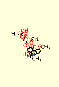 COc1ccc2c3c1O[C@@H]1C(OC(=O)[C@H](CC(=O)O[C@@H](C)C(=O)O)OC(C)=O)=CC[C@]4(O)[C@H](C2)N(C)CC[C@@]314